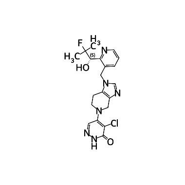 CC(C)(F)[C@@H](O)c1ncccc1Cn1cnc2c1CCN(c1cn[nH]c(=O)c1Cl)C2